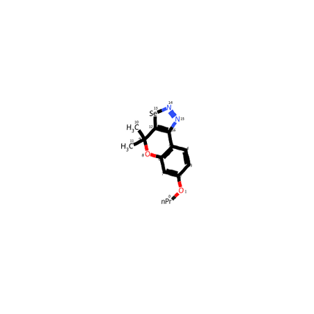 CCCOc1ccc2c(c1)OC(C)(C)c1[se]nnc1-2